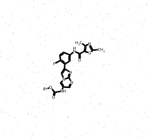 Cc1nc(C)c(C(=O)Nc2ccc(F)c(-c3cn4cc(NC(=O)OC(C)C)cnc4n3)c2)o1